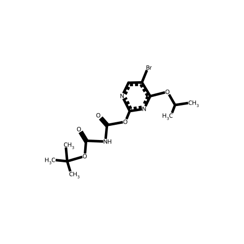 CC(C)Oc1nc(OC(=O)NC(=O)OC(C)(C)C)ncc1Br